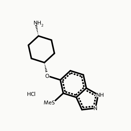 CSc1c(O[C@H]2CC[C@@H](N)CC2)ccc2[nH]ncc12.Cl